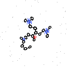 c1ccc(-c2cccc(-c3cccc(-c4ccc5c(c4)c4ccccc4n5-c4ccc(-c5cccc(-c6cc(-c7cc(-c8cccc(-c9cccc(-c%10nc(-c%11ccccc%11)nc(-c%11ccccc%11)n%10)c9)c8)cc(-c8cccc(-c9cccc(-c%10nc(-c%11ccccc%11)nc(-c%11ccccc%11)n%10)c9)c8)c7)c7oc8ccccc8c7c6)c5)cc4)c3)c2)cc1